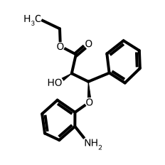 CCOC(=O)[C@H](O)[C@H](Oc1ccccc1N)c1ccccc1